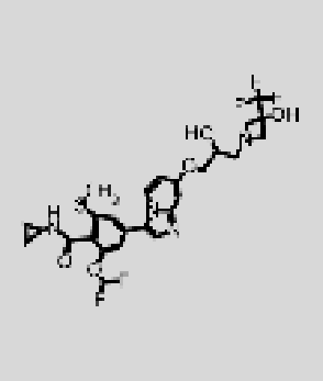 COc1cc(-c2cnc3cc(OCC(O)CN4CC(O)(C(F)(F)F)C4)ccn23)cc(OC(F)F)c1C(=O)NC1CC1